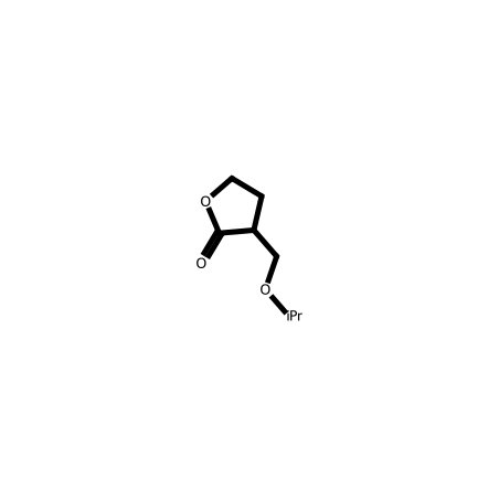 CC(C)OCC1CCOC1=O